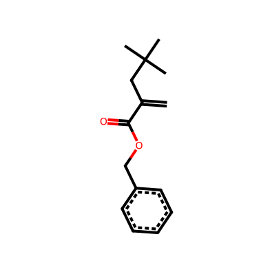 C=C(CC(C)(C)C)C(=O)OCc1ccccc1